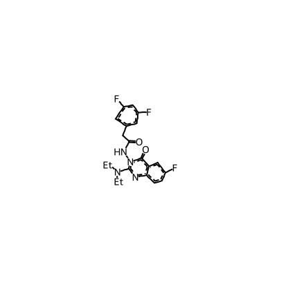 CCN(CC)c1nc2ccc(F)cc2c(=O)n1NC(=O)Cc1cc(F)cc(F)c1